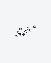 Cc1c(C(=O)N2CCNCC2Cc2ccccc2)ccn1-c1ccc(NC(=O)CCCCc2ccccc2)cc1.Cl